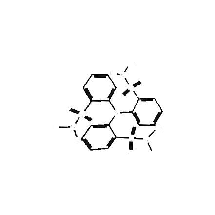 CCN(CC)S(=O)(=O)c1cccc[c]1[Bi]([c]1ccccc1S(=O)(=O)N(CC)CC)[c]1ccccc1S(=O)(=O)N(CC)CC